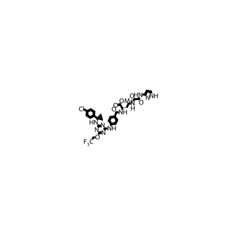 COC(=O)[C@H](CCNC(=O)C(=O)Nc1cc[nH]n1)NC(=O)c1ccc(Nc2nc(NC3(c4ccc(Cl)cc4)CC3)nc(OCC(F)(F)F)n2)cc1